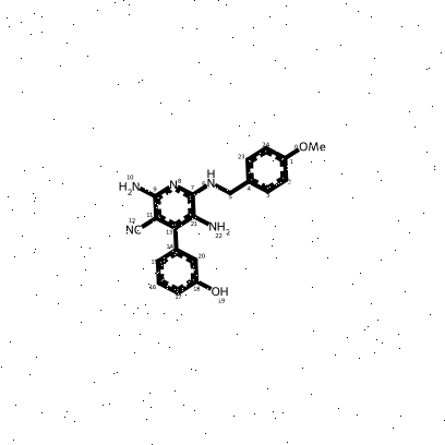 COc1ccc(CNc2nc(N)c(C#N)c(-c3cccc(O)c3)c2N)cc1